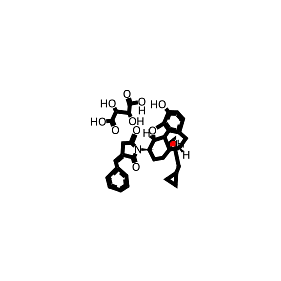 O=C(O)C(O)C(O)C(=O)O.O=C1C/C(=C/c2ccccc2)C(=O)N1[C@@H]1CC[C@@]2(O)[C@H]3Cc4ccc(O)c5c4[C@@]2(CCN3CC2CC2)[C@H]1O5